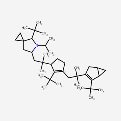 CC(C)N1C(CC(C)(C)C2CCC(CC(C)(C)C3=C(C(C)(C)C)C4CC4C3)=C2C(C)(C)C)CC2(CC2)C1C(C)(C)C